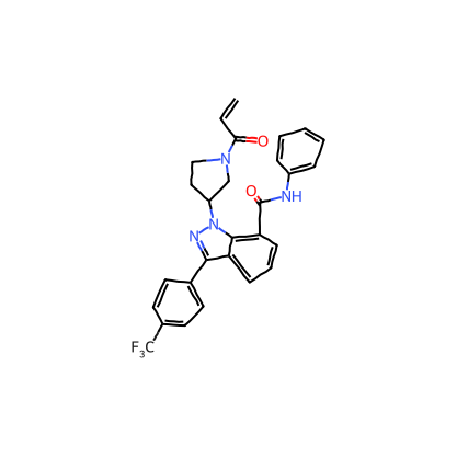 C=CC(=O)N1CCC(n2nc(-c3ccc(C(F)(F)F)cc3)c3cccc(C(=O)Nc4ccccc4)c32)C1